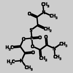 C=C(OP(=O)(OC(=C)C(=O)N(C)C)SC(=C)C(=O)N(C)C)C(=O)N(C)C